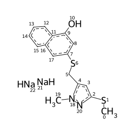 CSc1cc(CSc2cc(O)c3ccccc3c2)n(C)n1.[NaH].[NaH]